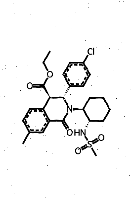 CCOC(=O)[C@@H]1c2ccc(C)cc2C(=O)N([C@H]2CCCC[C@@H]2NS(C)(=O)=O)[C@H]1c1ccc(Cl)cc1